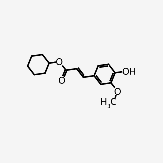 COc1cc(C=CC(=O)OC2CCCCC2)ccc1O